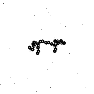 C1=CC(c2nc(-c3ccc4ccc(-c5ccc6cc(-c7ccc(-c8nc(-c9ccc%10ccccc%10c9)nc(-c9ccc(-c%10cccc%11c%10oc%10ccccc%10%11)c%10oc%11ccccc%11c9%10)n8)cc7)ccc6c5)cc4c3)nc(-c3cccc4oc5cc(-c6cccc7sc8ccccc8c67)ccc5c34)n2)CC=C1c1ccc2ccccc2c1